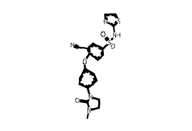 CN1CCN(c2ccc(Oc3ccc(S(=O)(=O)Nc4nccs4)cc3C#N)cc2)C1=O